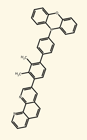 Cc1c(-c2ccc(N3c4ccccc4Oc4ccccc43)cc2)ccc(-c2cnc3c(ccc4cccnc43)c2)c1C